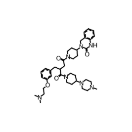 CN(C)CCOc1cccc(CC(CC(=O)N2CCC(N3Cc4ccccc4NC3=O)CC2)C(=O)N2CCC(N3CCN(C)CC3)CC2)c1